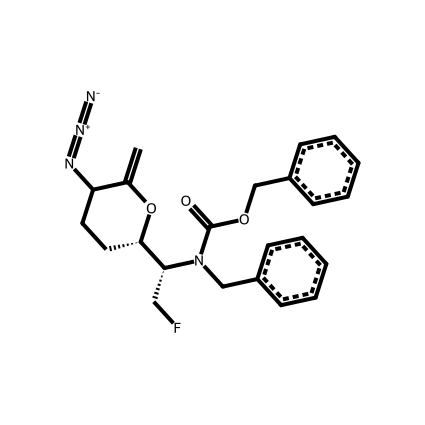 C=C1O[C@H]([C@@H](CF)N(Cc2ccccc2)C(=O)OCc2ccccc2)CCC1N=[N+]=[N-]